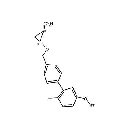 CC(C)Oc1ccc(F)c(-c2ccc(CO[C@@H]3C[C@H]3C(=O)O)cc2)c1